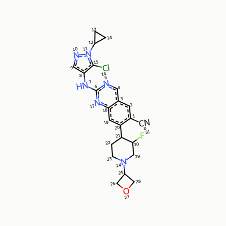 N#Cc1cc2cnc(Nc3cnn(C4CC4)c3Cl)nc2cc1C1CCN(C2COC2)CC1F